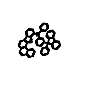 c1ccc(N(c2cccc(C3(c4ccccc4)c4ccccc4-c4ccccc43)c2)c2cccc3c2sc2c3ccc3ccc4ccccc4c32)cc1